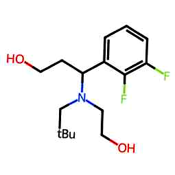 CC(C)(C)CN(CCO)C(CCO)c1cccc(F)c1F